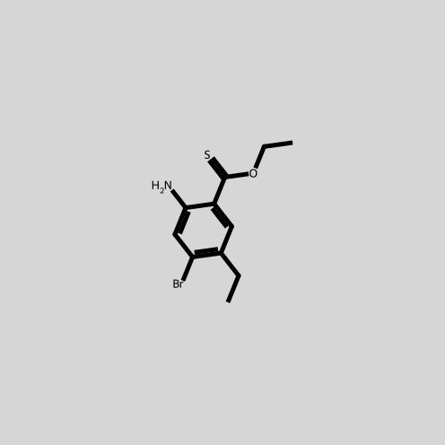 CCOC(=S)c1cc(CC)c(Br)cc1N